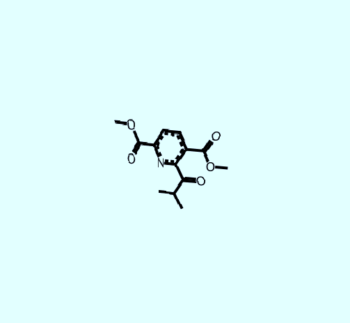 COC(=O)c1ccc(C(=O)OC)c(C(=O)C(C)C)n1